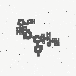 CCNC(=O)Nc1nc2cc(-c3cnc(NS(=O)(=O)N4CCCC4CO)nc3)cc(-c3ccc(C)cn3)c2s1